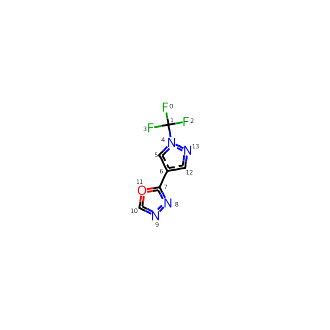 FC(F)(F)n1cc(-c2nnco2)cn1